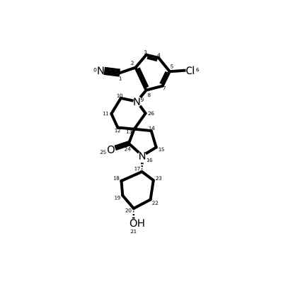 N#Cc1ccc(Cl)cc1N1CCCC2(CCN([C@H]3CC[C@@H](O)CC3)C2=O)C1